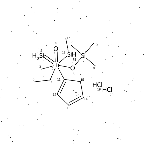 C[CH2][Ti]([CH3])(=[O])(=[SiH2])([O][Si](C)(C)C)([C]1=CC=CC1)[SiH](C)C.Cl.Cl